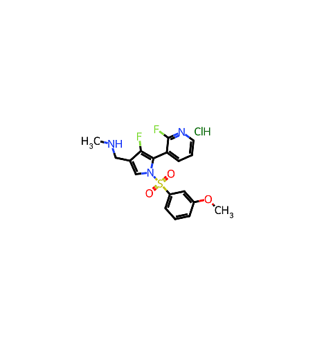 CNCc1cn(S(=O)(=O)c2cccc(OC)c2)c(-c2cccnc2F)c1F.Cl